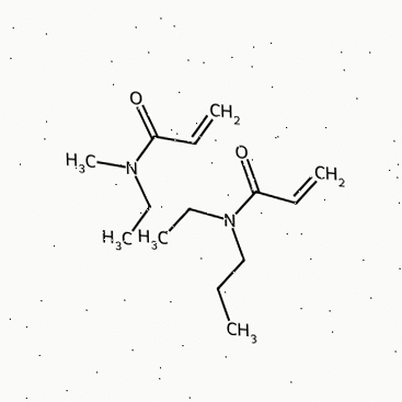 C=CC(=O)N(C)CC.C=CC(=O)N(CC)CCC